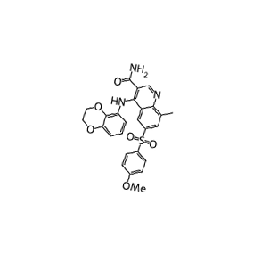 COc1ccc(S(=O)(=O)c2cc(C)c3ncc(C(N)=O)c(Nc4cccc5c4OCCO5)c3c2)cc1